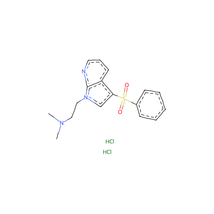 CN(C)CCn1cc(S(=O)(=O)c2ccccc2)c2cccnc21.Cl.Cl